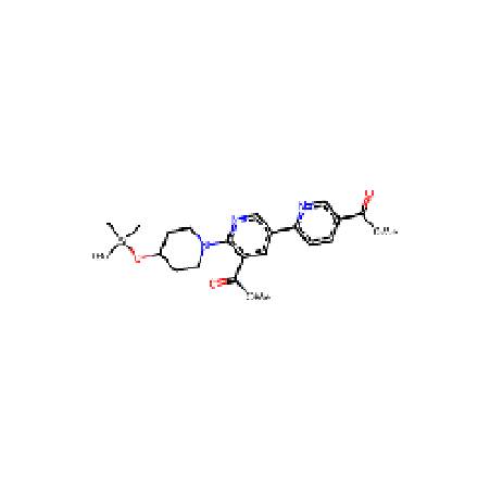 COC(=O)c1ccc(-c2cnc(N3CCC(O[Si](C)(C)C(C)(C)C)CC3)c(C(=O)OC)c2)nc1